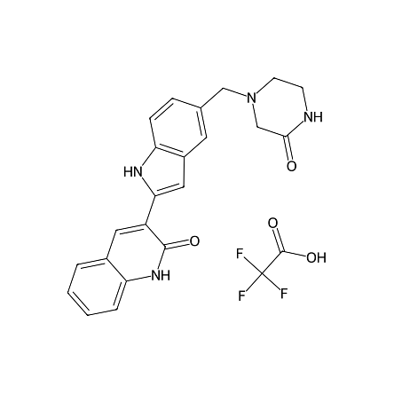 O=C(O)C(F)(F)F.O=C1CN(Cc2ccc3[nH]c(-c4cc5ccccc5[nH]c4=O)cc3c2)CCN1